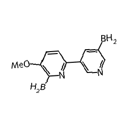 Bc1cncc(-c2ccc(OC)c(B)n2)c1